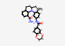 CNCC1CCc2cccc(C(N)=O)c2N1c1cc(NC(=O)c2ccc3c(c2)OCCO3)ccc1C